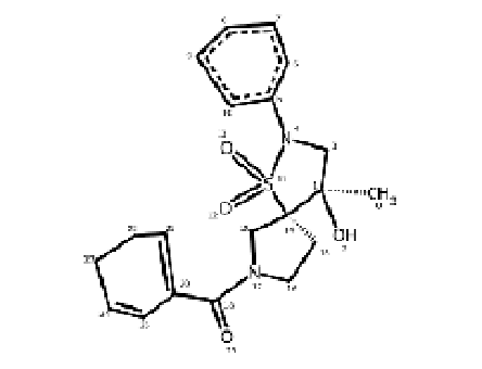 C[C@@]1(O)CN(c2ccccc2)S(=O)(=O)[C@@]12CCN(C(=O)C1=CCCC=C1)C2